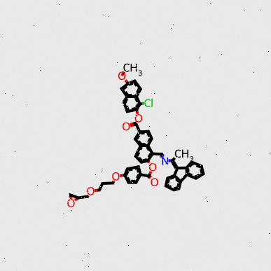 COc1ccc2c(Cl)c(OC(=O)c3ccc4c(/C=N/C(C)=C5c6ccccc6-c6ccccc65)c(OC(=O)c5ccc(OCCCOCC6CO6)cc5)ccc4c3)ccc2c1